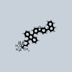 C/C=C(\C=C/C(C)C(C)(C)C)c1c2ccccc2c(-c2ccc3oc4cc(-c5cccc6ccccc56)ccc4c3c2)c2ccccc12